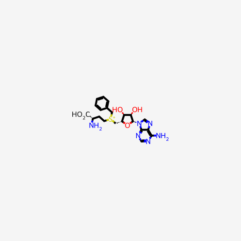 Nc1ncnc2c1ncn2[C@@H]1O[C@H](C[S+](CC[C@H](N)C(=O)O)Cc2ccccc2)[C@@H](O)[C@H]1O